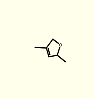 CC1=CC(C)OC1